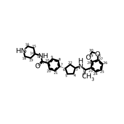 C[C@@H](NC1CC[C@H](c2ccc(C(=O)NC3CCNCC3)cc2)C1)c1cccc2c1OCO2